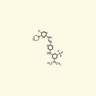 CN(C)c1cc(Nc2ccc(/N=C/Nc3ncc(F)c(N4CCOCC4)n3)nc2)cc(C(F)(F)F)c1